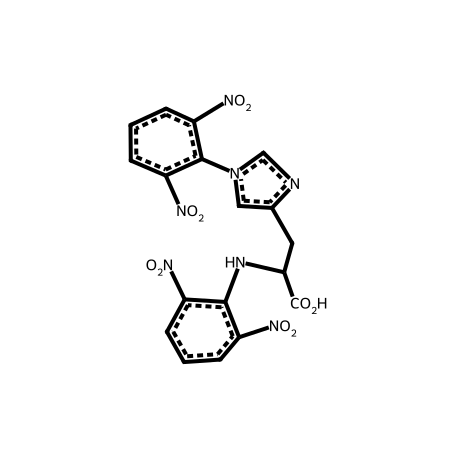 O=C(O)C(Cc1cn(-c2c([N+](=O)[O-])cccc2[N+](=O)[O-])cn1)Nc1c([N+](=O)[O-])cccc1[N+](=O)[O-]